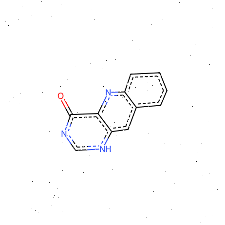 O=c1nc[nH]c2cc3ccccc3nc12